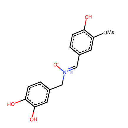 COc1cc(/C=[N+](\[O-])Cc2ccc(O)c(O)c2)ccc1O